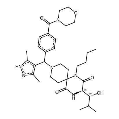 CCCCN1C(=O)[C@@H]([C@H](O)C(C)C)NC(=O)C12CCN(C(c1ccc(C(=O)N3CCOCC3)cc1)c1c(C)n[nH]c1C)CC2